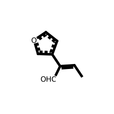 CC=C(C=O)c1ccoc1